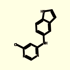 Clc1cc(Nc2ccc3[nH]ccc3c2)ncn1